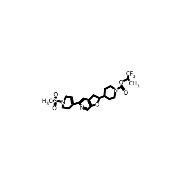 CC(OC(=O)N1CCC(C2Cc3cc(C4=CCN(S(C)(=O)=O)CC4)ncc3O2)CC1)C(F)(F)F